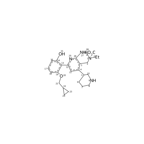 CCN(Cc1c(C2CCCNC2)cc(-c2c(O)cccc2OCC2CC2)nc1N)C(=O)O